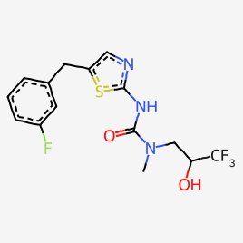 CN(CC(O)C(F)(F)F)C(=O)Nc1ncc(Cc2cccc(F)c2)s1